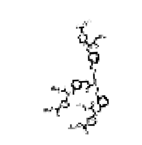 CC(C)(C)OC(=O)[C@@H](Cc1cccc(CCN(CCOCc2cccc(C[C@H](C(=O)OC(C)(C)C)[C@H]3CCN(C(=O)OC(C)(C)C)C3)c2)C(=O)Cc2cccc(C[C@H](C(=O)OC(C)(C)C)[C@H]3CCN(C(=O)OC(C)(C)C)C3)c2)c1)[C@H]1CCN(C(=O)OC(C)(C)C)C1